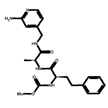 C[C@H](NC(=O)[C@@H](CCc1ccccc1)NC(=O)OC(C)(C)C)C(=O)NCc1ccnc(N)c1